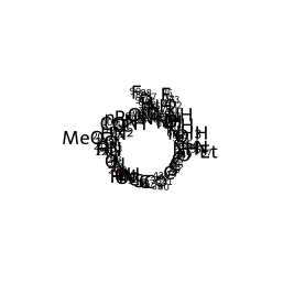 CCCN1CC(=O)N[C@@H](CCCC(=O)O)C(=O)N[C@@H](Cc2ccc(OC)cc2)C(=O)N2CCC[C@@]2(C)C(=O)NCSCCc2cccc(c2)CSCCC(=O)N[C@@H](CCCCNCC)C(=O)N[C@H](C)C(=O)N[C@@H](Cc2c[nH]c3ccc(F)cc23)C(=O)N[C@@H](Cc2c[nH]c3ccc(F)cc23)C1=O